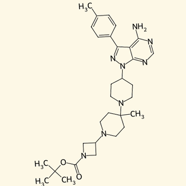 Cc1ccc(-c2nn(C3CCN(C4(C)CCN(C5CN(C(=O)OC(C)(C)C)C5)CC4)CC3)c3ncnc(N)c23)cc1